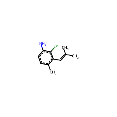 CC(C)=Cc1c(C)ccc(N)c1Br